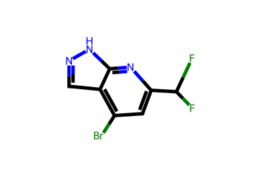 FC(F)c1cc(Br)c2cn[nH]c2n1